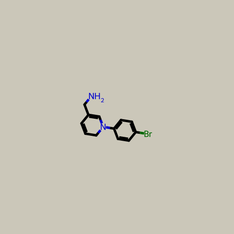 NCC1=CN(c2ccc(Br)cc2)CC=C1